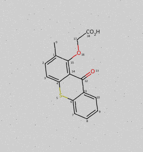 Cc1ccc2sc3ccccc3c(=O)c2c1OCC(=O)O